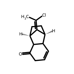 C/C(Cl)=C1/[C@H]2CC[C@@H]1C1C(=O)CC=CC12